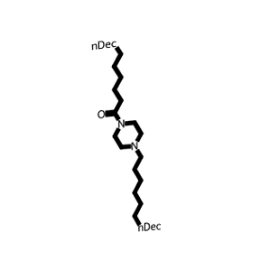 CCCCCCCCCCCCCCCCN1CCN(C(=O)CCCCCCCCCCCCCCC)CC1